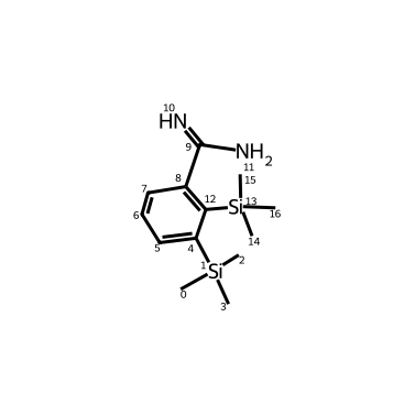 C[Si](C)(C)c1cccc(C(=N)N)c1[Si](C)(C)C